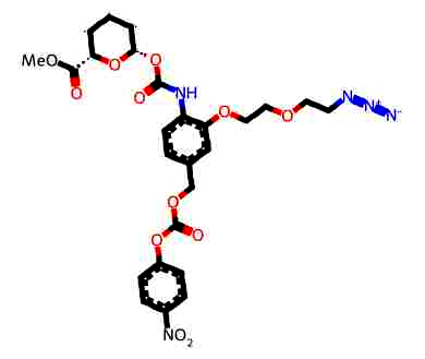 COC(=O)[C@@H]1[CH][CH][CH][C@H](OC(=O)Nc2ccc(COC(=O)Oc3ccc([N+](=O)[O-])cc3)cc2OCCOCCN=[N+]=[N-])O1